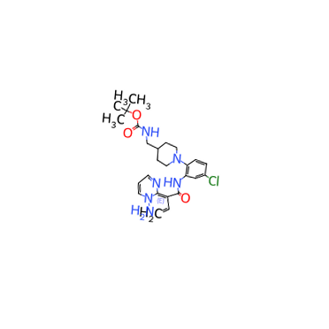 C=C/C(C(=O)Nc1cc(Cl)ccc1N1CCC(CNC(=O)OC(C)(C)C)CC1)=C1/N=CC=CN1N